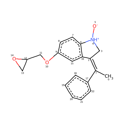 CC(=C1C[NH+]([O-])c2ccc(OCC3CO3)cc21)c1ccccc1